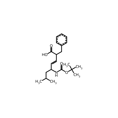 CC(C)CC(/C=C/C(Cc1ccccc1)C(=O)O)NC(=O)OC(C)(C)C